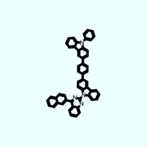 c1ccc(-n2c3ccccc3c3cc(-c4ccc(-c5ccc6c(c5)c5ccccc5n6-c5nc(-c6ccc7ccccc7c6)c6ccccc6n5)cc4)ccc32)cc1